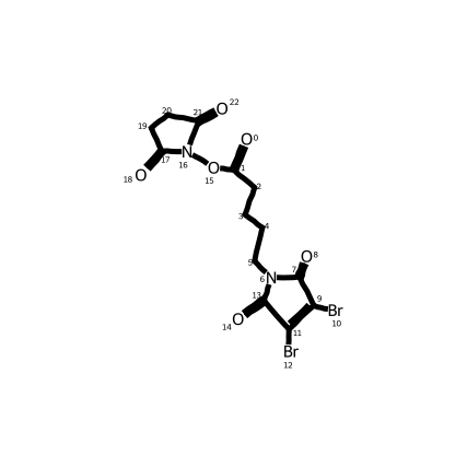 O=C(CCCCN1C(=O)C(Br)=C(Br)C1=O)ON1C(=O)CCC1=O